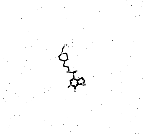 Cn1cc(C(=O)NCCC2CCN(CC(F)(F)F)CC2)c2cc[nH]c2c1=O